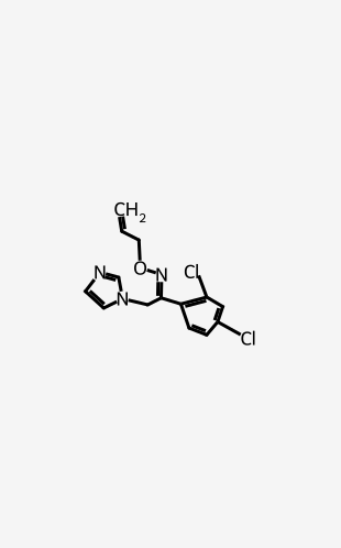 C=CCO/N=C(\Cn1ccnc1)c1ccc(Cl)cc1Cl